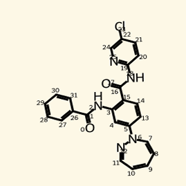 O=C(Nc1cc(N2C=CC=CC=N2)ccc1C(=O)Nc1ccc(Cl)cn1)c1ccccc1